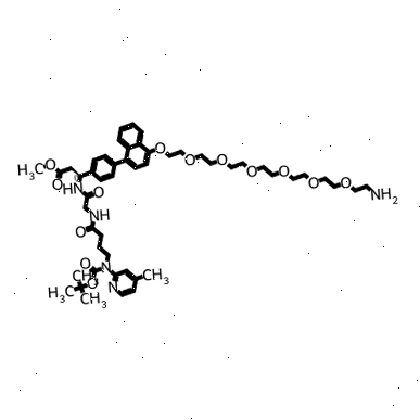 COC(=O)C[C@H](NC(=O)CNC(=O)CCCN(C(=O)OC(C)(C)C)c1cc(C)ccn1)c1ccc(-c2ccc(OCCOCCOCCOCCOCCOCCOCCN)c3ccccc23)cc1